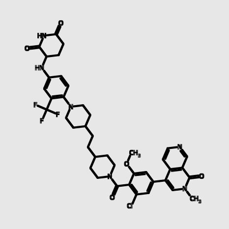 COc1cc(-c2cn(C)c(=O)c3cnccc23)cc(Cl)c1C(=O)N1CCC(CCC2CCN(c3ccc(NC4CCC(=O)NC4=O)cc3C(F)(F)F)CC2)CC1